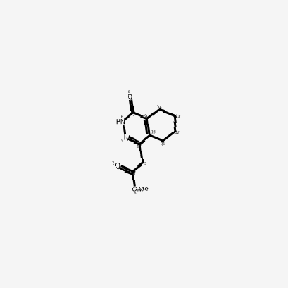 COC(=O)Cc1n[nH]c(=O)c2c1CCCC2